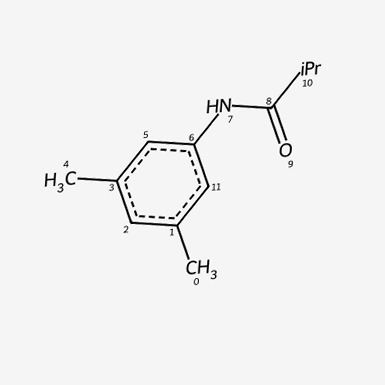 Cc1cc(C)cc(NC(=O)C(C)C)c1